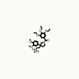 CCOc1cc(C(=O)N2CCC(CCS(C)(=O)=O)(c3ccc(OC)c(OC)c3)C2)cc(OCC)c1OCC